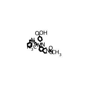 COC(=O)N1CCc2ccc3c(nc([C@H]4CC[C@H](C(=O)O)CC4)n3[C@@H](C)Cn3ncc4ccccc43)c2C1